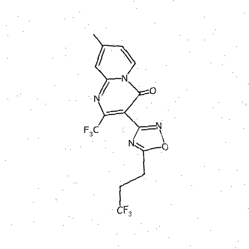 Cc1ccn2c(=O)c(-c3noc(CCC(F)(F)F)n3)c(C(F)(F)F)nc2c1